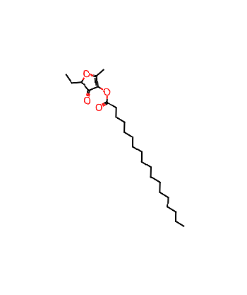 CCCCCCCCCCCCCCCCCC(=O)OC1=C(C)OC(CC)C1=O